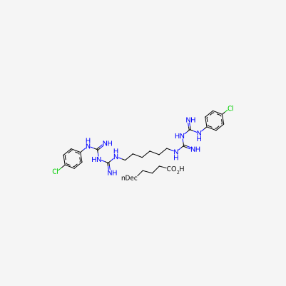 CCCCCCCCCCCCCC(=O)O.N=C(NCCCCCCNC(=N)NC(=N)Nc1ccc(Cl)cc1)NC(=N)Nc1ccc(Cl)cc1